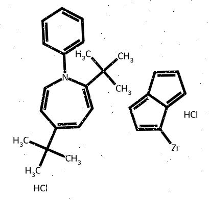 CC(C)(C)C1=CC=C(C(C)(C)C)N(c2ccccc2)C=C1.Cl.Cl.[Zr][C]1=CC=C2C=CC=C12